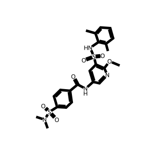 COc1ncc(NC(=O)c2ccc(S(=O)(=O)N(C)C)cc2)cc1S(=O)(=O)Nc1c(C)cccc1C